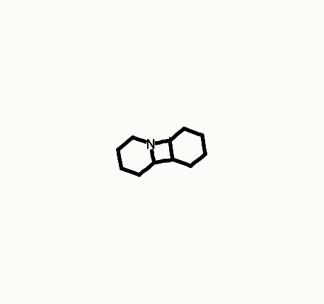 C1CCC2[C](C1)N1CCCCC21